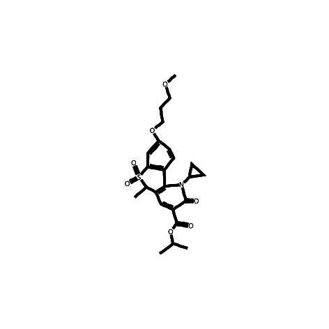 COCCCOc1ccc2c(c1)S(=O)(=O)C(C)c1cc(C(=O)OC(C)C)c(=O)n(C3CC3)c1-2